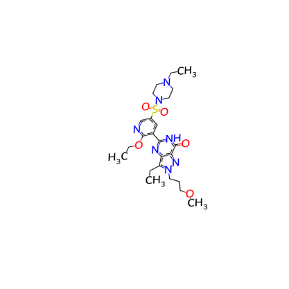 CCOc1ncc(S(=O)(=O)N2CCN(CC)CC2)cc1-c1nc2c(CC)n(CCCOC)nc2c(=O)[nH]1